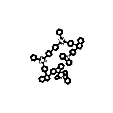 c1ccc(-c2nc(-c3ccc(-c4ccc(-c5nc(-c6ccccc6)nc(-c6ccc(-c7c(-c8ccc9c(c8)C8(c%10ccccc%10-9)c9ccccc9-n9c%10ccccc%10c%10cccc8c%109)ccc8ccccc78)cc6)n5)cc4)cc3)nc(-c3ccc(-c4c(-c5ccc(-n6c7ccccc7c7ccccc76)cc5)ccc5ccccc45)cc3)n2)cc1